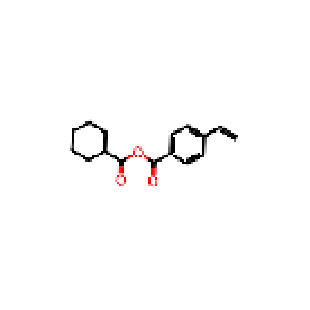 C=Cc1ccc(C(=O)OC(=O)C2CCCCC2)cc1